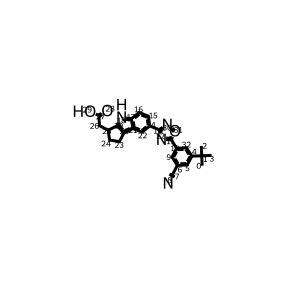 CC(C)(C)c1cc(C#N)cc(-c2nc(-c3ccc4[nH]c5c(c4c3)CCC5CC(=O)O)no2)c1